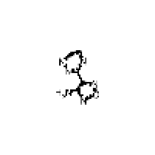 Nc1nonc1-c1nccnn1